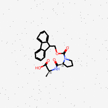 C[C@H](NC(=O)[C@@H]1CCCN1C(=O)OCC1c2ccccc2-c2ccccc21)C(=O)O